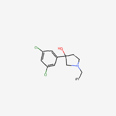 CC(C)CN1CCC(O)(c2cc(Cl)cc(Cl)c2)C1